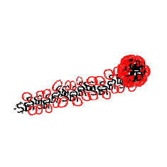 C[Si](C)(C)[Si](=O)[Si](=O)[Si](=O)[Si](=O)[Si](=O)[Si](=O)[Si](=O)[Si](=O)[Si](=O)[Si](=O)[Si](=O)[Si](=O)[Si](=O)[Si](=O)[Si](=O)[Si](=O)[Si](=O)[Si](=O)[Si](=O)[Si](=O)[Si](=O)[Si](=O)[Si](=O)[Si](=O)[Si](=O)[Si](=O)[Si](=O)[Si](=O)[Si](=O)[Si](=O)[Si](=O)[Si](=O)[Si](=O)[Si](=O)[Si](=O)[Si](=O)[Si](=O)[Si](=O)[Si](=O)[Si](=O)[Si](=O)[Si](=O)[Si](=O)[Si](=O)[Si](=O)[Si](=O)[Si](=O)[Si](=O)[Si](=O)[SiH]=O